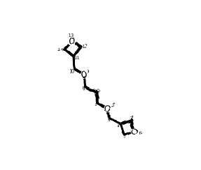 C(COCC1COC1)COCC1COC1